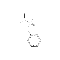 CN(C)P(=O)(Cl)Oc1ccccc1